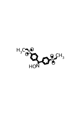 CCS(=O)(=O)c1ccc(C(=NO)c2ccc(S(=O)(=O)CC)cc2)cc1